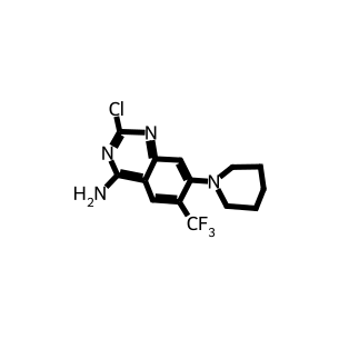 Nc1nc(Cl)nc2cc(N3CCCCC3)c(C(F)(F)F)cc12